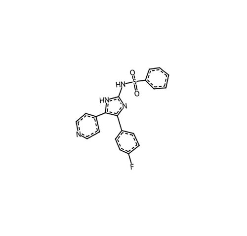 O=S(=O)(Nc1nc(-c2ccc(F)cc2)c(-c2ccncc2)[nH]1)c1ccccc1